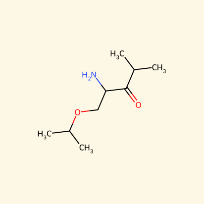 CC(C)OCC(N)C(=O)C(C)C